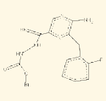 CC(C)(C)OC(=O)NNC(=N)c1cnc(N)c(Cc2ccccc2F)n1